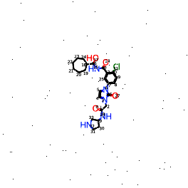 O=C(Cn1ccn(-c2ccc(Cl)c(C(=O)NC(O)C3CCCCCC3)c2)c1=O)NC1CCNC1